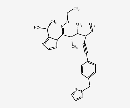 C=C[C@@H](C#Cc1ccc(Cn2cccn2)cc1)[C@@H](C)[C@H](C)/C(=N\OCC)n1ccnc1[C@H](C)O